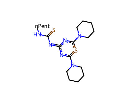 CCCCCNC(=S)N=c1nc(N2CCCCC2)sc(N2CCCCC2)n1